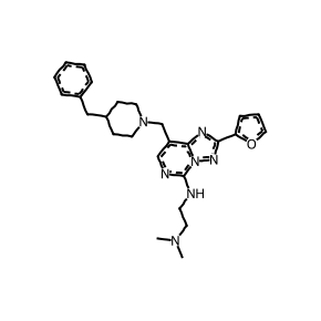 CN(C)CCNc1ncc(CN2CCC(Cc3ccccc3)CC2)c2nc(-c3ccco3)nn12